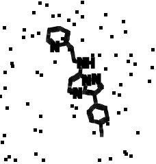 Cc1ccc(-c2cnn3c(NCCc4ccccn4)ccnc23)cc1